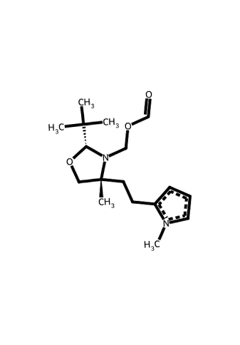 Cn1cccc1CC[C@]1(C)CO[C@H](C(C)(C)C)N1COC=O